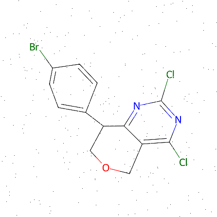 Clc1nc(Cl)c2c(n1)C(c1ccc(Br)cc1)COC2